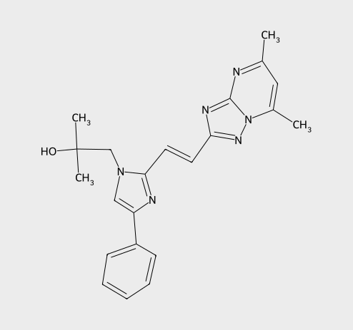 Cc1cc(C)n2nc(C=Cc3nc(-c4ccccc4)cn3CC(C)(C)O)nc2n1